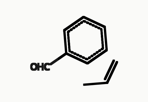 C=CC.O=Cc1ccccc1